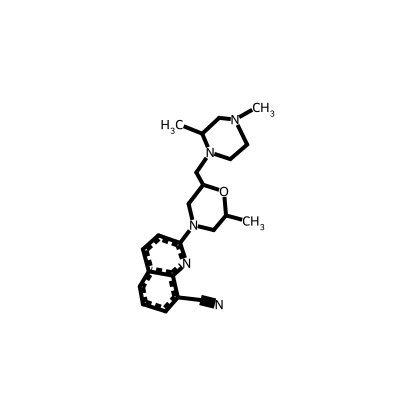 CC1CN(c2ccc3cccc(C#N)c3n2)CC(CN2CCN(C)CC2C)O1